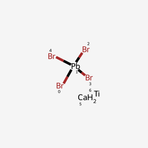 [Br][Pb]([Br])([Br])[Br].[CaH2].[Ti]